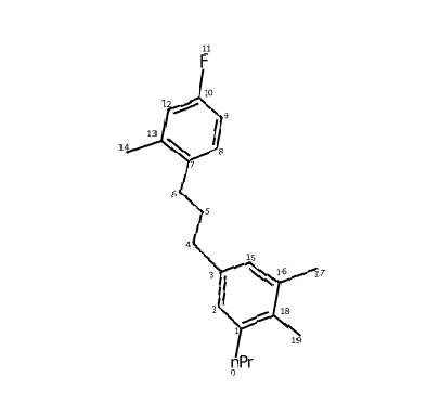 CCCc1cc(CCCc2ccc(F)cc2C)cc(C)c1C